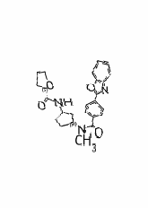 CN(C(=O)c1ccc(-c2nc3ccccc3o2)cc1)[C@@H]1CCC(NC(=O)[C@@H]2CCCO2)C1